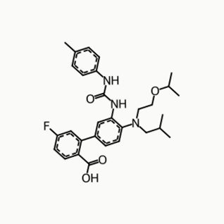 Cc1ccc(NC(=O)Nc2cc(-c3cc(F)ccc3C(=O)O)ccc2N(CCOC(C)C)CC(C)C)cc1